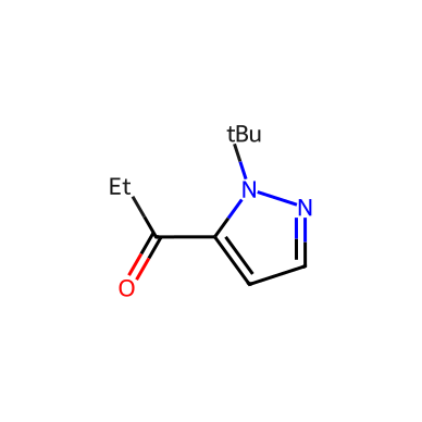 CCC(=O)c1ccnn1C(C)(C)C